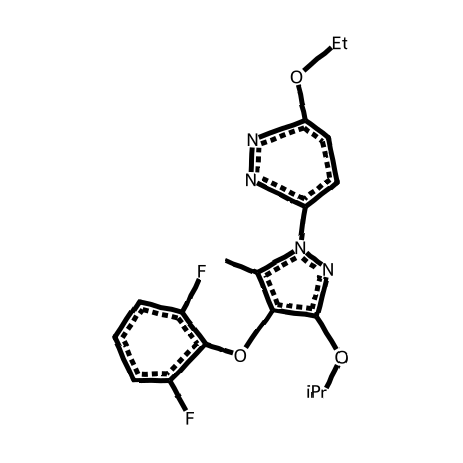 CCOc1ccc(-n2nc(OC(C)C)c(Oc3c(F)cccc3F)c2C)nn1